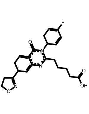 O=C(O)CCCCc1nc2c(c(=O)n1C1C=CC(F)=CC1)=CCC(C1=NOCC1)C=2